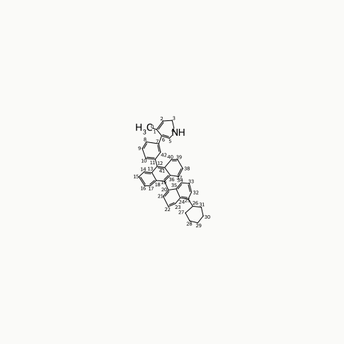 CC1=CCNC=C1c1cccc(-c2c3ccccc3c(-c3cccc4c(C5CCCCC5)cccc34)c3ccccc23)c1